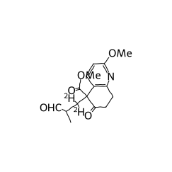 [2H]C([2H])(C(C)C=O)C1(C(=O)OC)C(=O)CCc2nc(OC)ccc21